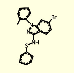 Cc1ccccc1-n1nc(NSc2ccccc2)c2ccc(Br)cc21